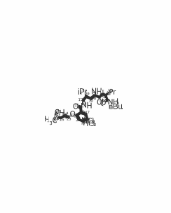 CCCCNC(=O)C(CC(O)C(N)CC(CNC(=O)c1ccccc1OCCCN(C)C)C(C)C)C(C)C.Cl.Cl